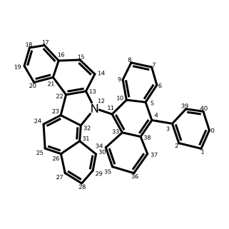 c1ccc(-c2c3ccccc3c(-n3c4ccc5ccccc5c4c4ccc5ccccc5c43)c3ccccc23)cc1